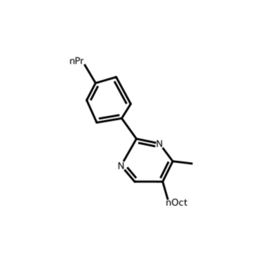 CCCCCCCCc1cnc(-c2ccc(CCC)cc2)nc1C